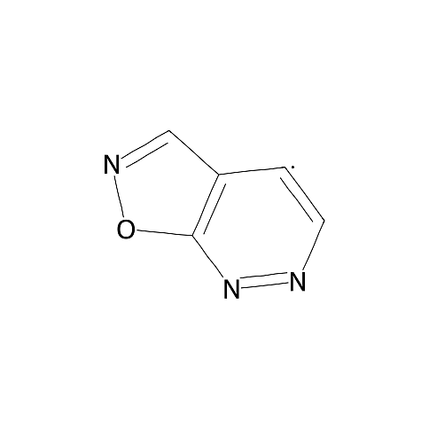 [c]1cnnc2oncc12